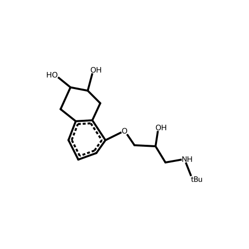 CC(C)(C)NCC(O)COc1cccc2c1CC(O)C(O)C2